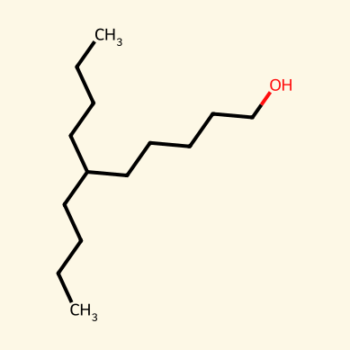 CCCCC(CCCC)CCCCCO